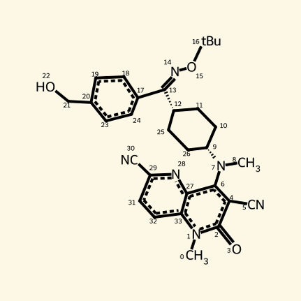 Cn1c(=O)c(C#N)c(N(C)[C@H]2CC[C@@H](/C(=N\OC(C)(C)C)c3ccc(CO)cc3)CC2)c2nc(C#N)ccc21